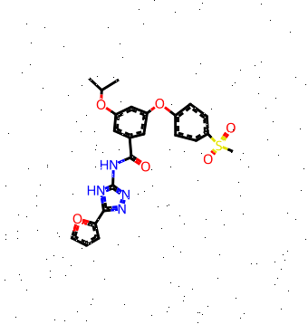 CC(C)Oc1cc(Oc2ccc(S(C)(=O)=O)cc2)cc(C(=O)Nc2nnc(-c3ccco3)[nH]2)c1